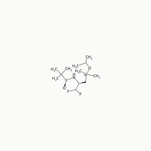 CC(C)O[Si](C)(C)C[C@H](N[S@@+]([O-])C(C)(C)C)C(F)F